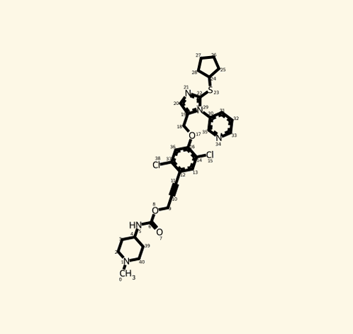 CN1CCC(NC(=O)OCC#Cc2cc(Cl)c(OCc3cnc(SC4CCCC4)n3-c3cccnc3)cc2Cl)CC1